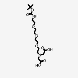 CC(C)(C)OC(=O)NCCOCCOCCOCCN(CC(=O)O)CC(=O)O